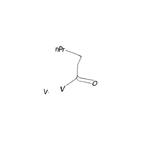 CCCC[C](=O)[V].[V]